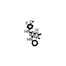 COc1ccc(Nc2nc(NC3CCCCCC3)nc(NC(C)N(C)C)n2)cc1F